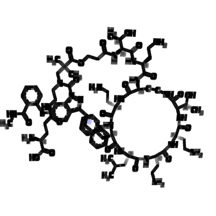 CNC(=O)c1ccccc1Sc1ccc2c(/C=C/c3ccccn3)nn(C(=O)N(CCNC(=O)CC[C@H](N)C(=O)O)CC(C)(C)C(=O)OCCC(=O)N[C@H](C(=O)N[C@@H](CCN)C(=O)N[C@H]3CCNC(=O)C([C@@H](C)O)NC(=O)[C@H](CCN)NC(=O)[C@H](CCN)NC(=O)[C@H](CC(C)C)NC(=O)[C@@H](Cc4ccccc4)NC(=O)[C@H](CCN)NC3=O)[C@@H](C)O)c2c1